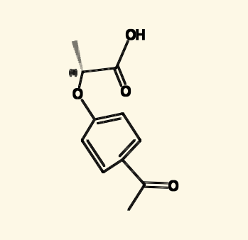 CC(=O)c1ccc(O[C@H](C)C(=O)O)cc1